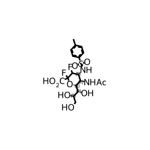 CC(=O)N[C@H]1[C@H]([C@H](O)[C@H](O)CO)OC(F)(C(=O)O)C(F)[C@@H]1NS(=O)(=O)c1ccc(C)cc1